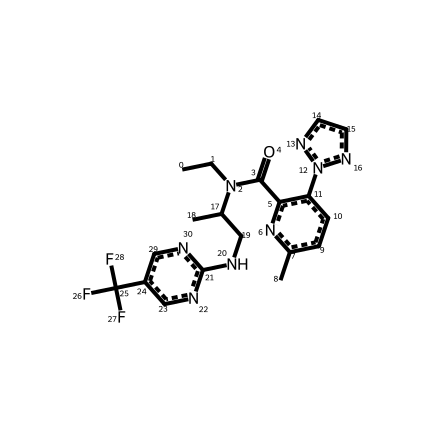 CCN(C(=O)c1nc(C)ccc1-n1nccn1)C(C)CNc1ncc(C(F)(F)F)cn1